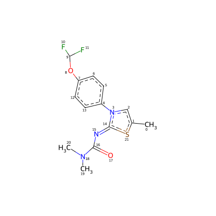 Cc1cn(-c2ccc(OC(F)F)cc2)/c(=N/C(=O)N(C)C)s1